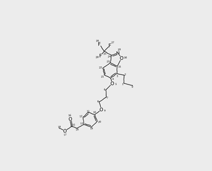 CCCc1c(OCCCOc2ccc(CC(=O)OC)cc2)ccc2c(C(F)(F)F)noc12